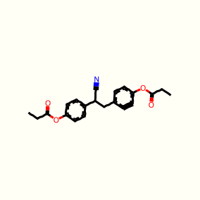 CCC(=O)Oc1c#cc(CC(C#N)c2ccc(OC(=O)CC)cc2)cc1